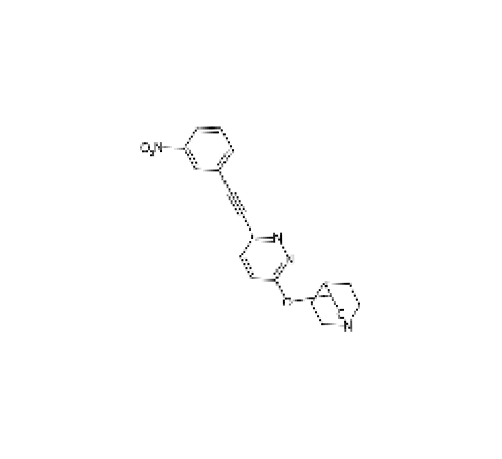 O=[N+]([O-])c1cccc(C#Cc2ccc(OC3CN4CCC3CC4)nn2)c1